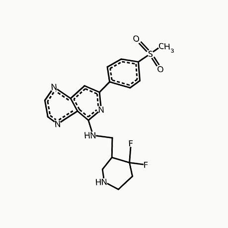 CS(=O)(=O)c1ccc(-c2cc3nccnc3c(NCC3CNCCC3(F)F)n2)cc1